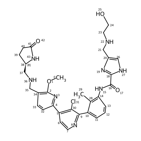 COc1nc(-c2ccnc(-c3cccc(NC(=O)c4nc(CNCCO)c[nH]4)c3C)c2Cl)ccc1CNC[C@H]1CCC(=O)N1